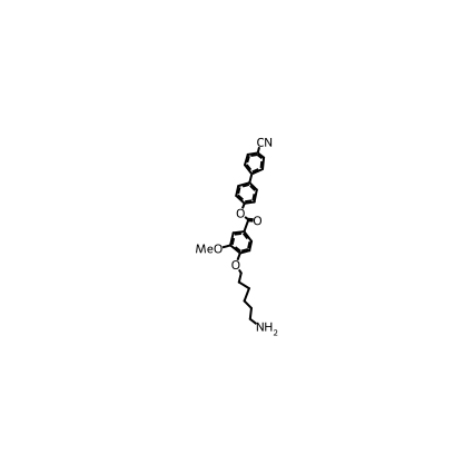 COc1cc(C(=O)Oc2ccc(-c3ccc(C#N)cc3)cc2)ccc1OCCCCCCN